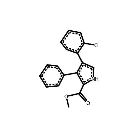 COC(=O)c1[nH]cc(-c2ccccc2Cl)c1-c1ccccc1